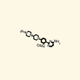 COc1cc(N2CCC(N3CCN(C(C)C)CC3)CC2)ccc1-c1nccc(N)n1